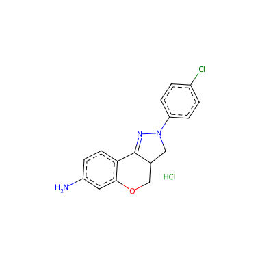 Cl.Nc1ccc2c(c1)OCC1CN(c3ccc(Cl)cc3)N=C21